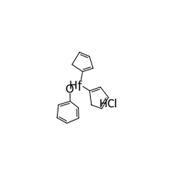 C1=CC[C]([Hf]([O]c2ccccc2)[C]2=CC=CC2)=C1.Cl